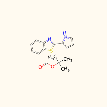 CC(C)(C)OC=O.c1c[nH]c(-c2nc3ccccc3s2)c1